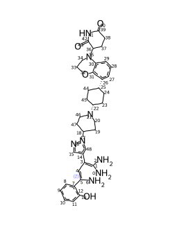 NC(N)=C(/C=C(\N)c1ccccc1O)c1cnn(C2CCN([C@H]3CC[C@@H](c4cccc5c4OCCN5C4CCC(=O)NC4=O)CC3)CC2)c1